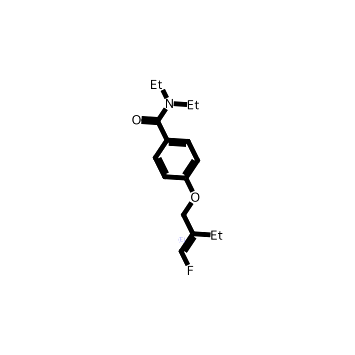 CC/C(=C\F)COc1ccc(C(=O)N(CC)CC)cc1